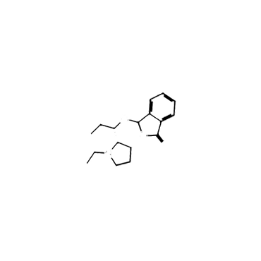 CCC(OC1OC(=O)c2ccccc21)[C@@H]1CCCN1CC